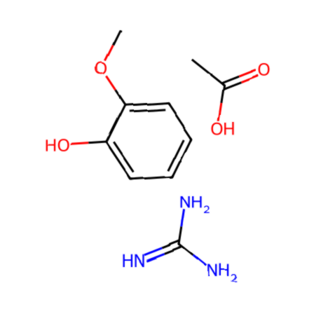 CC(=O)O.COc1ccccc1O.N=C(N)N